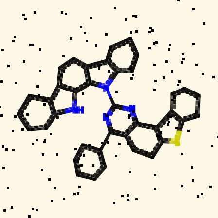 c1ccc(-c2nc(-n3c4ccccc4c4ccc5c6ccccc6[nH]c5c43)nc3c2ccc2sc4ccccc4c23)cc1